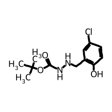 CC(C)(C)OC(=O)NNCc1cc(Cl)ccc1O